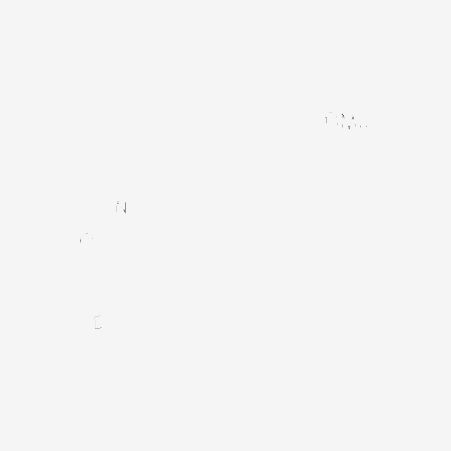 CCc1cc(-c2ccc(OC)cc2)no1